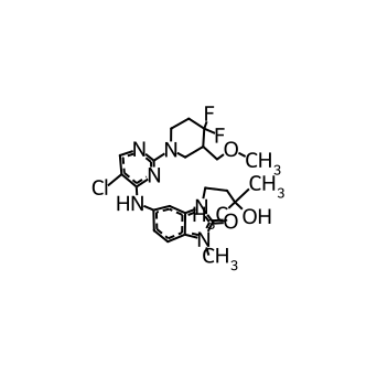 COCC1CN(c2ncc(Cl)c(Nc3ccc4c(c3)n(CCC(C)(C)O)c(=O)n4C)n2)CCC1(F)F